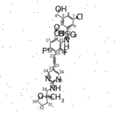 COc1c(CO)cc(Cl)cc1S(=O)(=O)Nc1ccc(F)c(C#Cc2cnc(NCC3(C)CCCO3)nc2)c1F